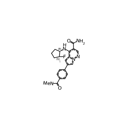 CNC(=O)c1ccc(-c2cc3c(N[C@@H]4CCC[C@]4(C)F)c(C(N)=O)cnn3c2)cc1